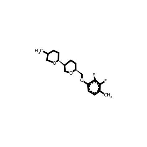 Cc1ccc(OC[C@@H]2CCC([C@@H]3CCC(C)CO3)CO2)c(F)c1F